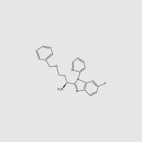 N[C@@H](CCOCc1ccccc1)c1nc2ccc(F)cc2n1-c1ccccn1